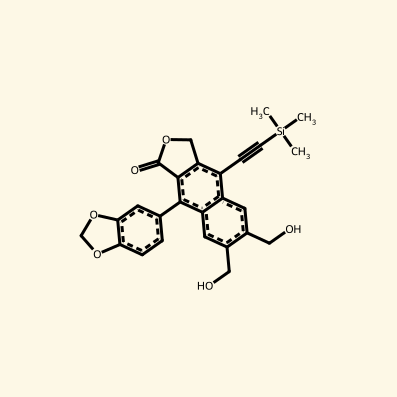 C[Si](C)(C)C#Cc1c2c(c(-c3ccc4c(c3)OCO4)c3cc(CO)c(CO)cc13)C(=O)OC2